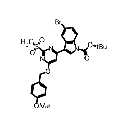 COc1ccc(COc2cc(-c3cn(C(=O)OC(C)(C)C)c4ccc(Br)cc34)nc(S(C)(=O)=O)n2)cc1